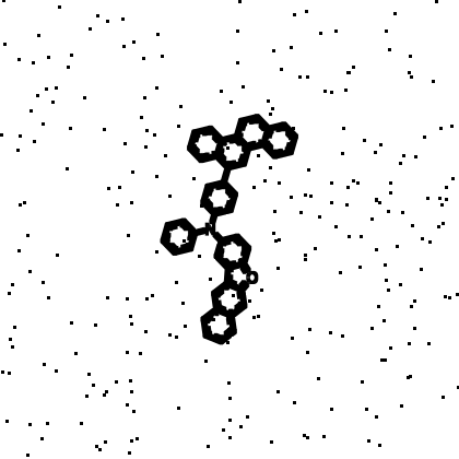 c1ccc(N(c2ccc(-c3cc4c5ccccc5ccc4c4ccccc34)cc2)c2ccc3oc4cc5ccccc5cc4c3c2)cc1